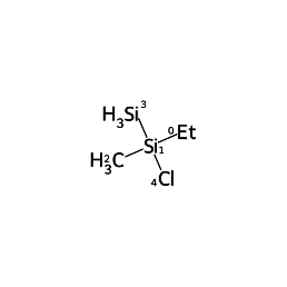 CC[Si](C)([SiH3])Cl